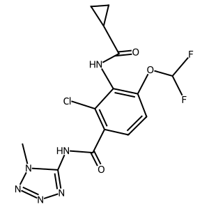 Cn1nnnc1NC(=O)c1ccc(OC(F)F)c(NC(=O)C2CC2)c1Cl